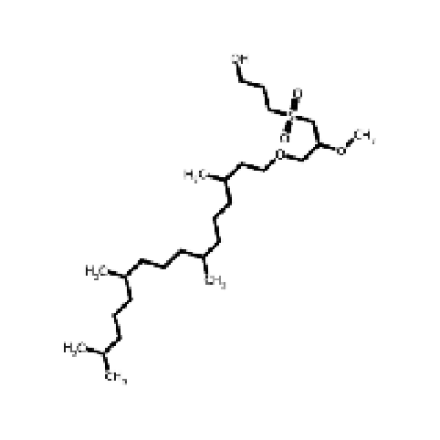 COC(COCCC(C)CCCC(C)CCCC(C)CCCC(C)C)CS(=O)(=O)CCCO